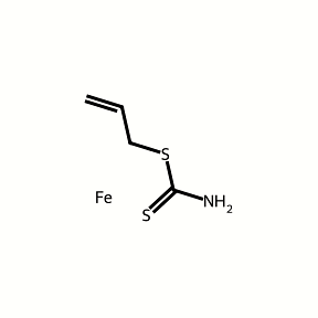 C=CCSC(N)=S.[Fe]